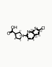 O=C(O)C1CCN(c2ccc3cc(Cl)sc3n2)C1